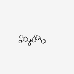 O=C(c1ccc(Cl)c(Cl)c1)N1CCC2(CC1)CN(c1ccccc1)CCO2